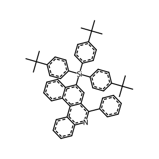 CC(C)(C)c1ccc([Si](c2ccc(C(C)(C)C)cc2)(c2ccc(C(C)(C)C)cc2)c2cc3c(-c4ccccc4)nc4ccccc4c3c3ccccc23)cc1